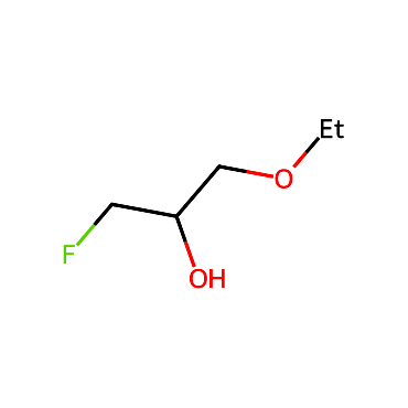 CCOCC(O)CF